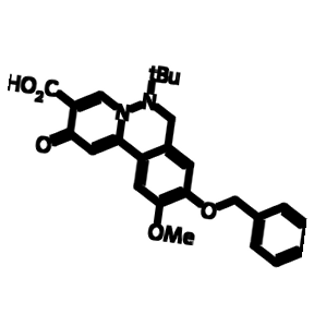 COc1cc2c(cc1OCc1ccccc1)CN(C(C)(C)C)n1cc(C(=O)O)c(=O)cc1-2